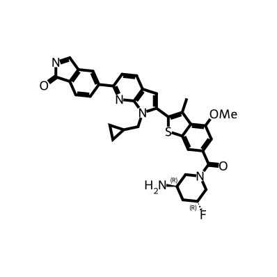 COc1cc(C(=O)N2C[C@H](N)C[C@@H](F)C2)cc2sc(-c3cc4ccc(-c5ccc6c(c5)C=NC6=O)nc4n3CC3CC3)c(C)c12